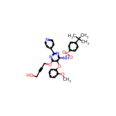 COc1ccccc1Oc1c(NS(=O)(=O)c2ccc(C(C)(C)C)cc2)nc(-c2ccncc2)nc1OCC#CCO